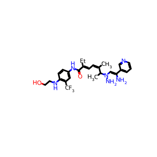 CC/C(=C\C=C(\C)C(C)N(N)/C=C(\N)c1cccnc1)C(=O)Nc1ccc(NCCO)c(C(F)(F)F)c1